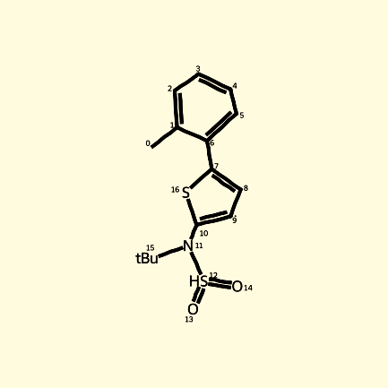 Cc1ccccc1-c1c[c]c(N([SH](=O)=O)C(C)(C)C)s1